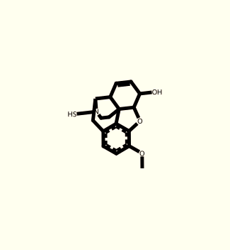 COc1ccc2c3c1OC1C(O)C=CC4C(C2)N(S)CCC341